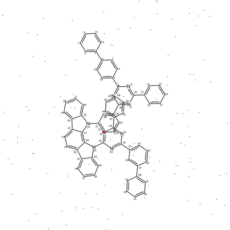 c1ccc(-c2ccc(-c3nc(-c4ccccc4)nc(-c4cccc(-n5c6ccccc6c6ccc7c8ccccc8n(-c8nc(-c9ccccc9)nc(-c9cccc(-c%10ccccc%10)c9)n8)c7c65)c4)n3)cc2)cc1